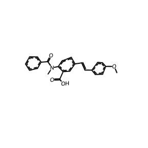 COc1ccc(/C=C/c2ccc(N(C)C(=O)c3ccccc3)c(C(=O)O)c2)cc1